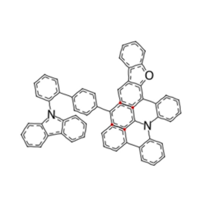 c1ccc(-c2ccccc2N(c2ccc(-c3ccc(-c4ccccc4-n4c5ccccc5c5ccccc54)cc3)cc2)c2ccccc2-c2cccc3c2oc2ccccc23)cc1